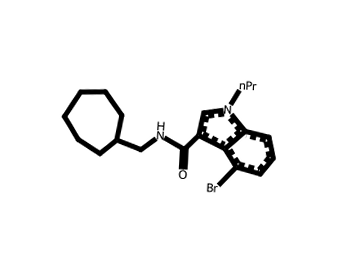 CCCn1cc(C(=O)NCC2CCCCCC2)c2c(Br)cccc21